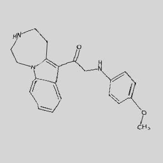 COc1ccc(NCC(=O)c2c3n(c4ccccc24)CCNCC3)cc1